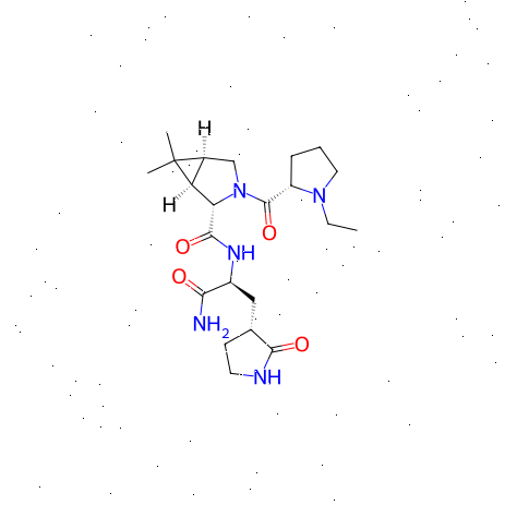 CCN1CCC[C@H]1C(=O)N1C[C@H]2[C@@H]([C@H]1C(=O)N[C@@H](C[C@H]1CCNC1=O)C(N)=O)C2(C)C